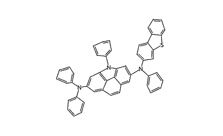 c1ccc(N(c2ccccc2)c2cc3ccc4cc(N(c5ccccc5)c5ccc6c(c5)sc5ccccc56)cc5c4c3c(c2)n5-c2ccccc2)cc1